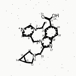 CCn1cncc1Cn1c(CN2CC3CC3C2)nc2ccc(C(=O)O)cc21